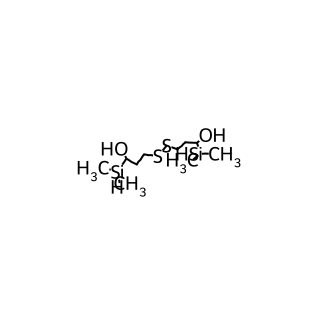 C[SiH](C)C(O)CCSSCCC(O)[SiH](C)C